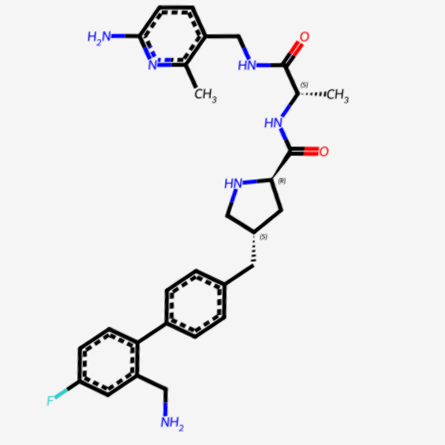 Cc1nc(N)ccc1CNC(=O)[C@H](C)NC(=O)[C@H]1C[C@H](Cc2ccc(-c3ccc(F)cc3CN)cc2)CN1